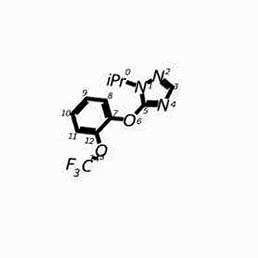 CC(C)n1ncnc1Oc1ccccc1OC(F)(F)F